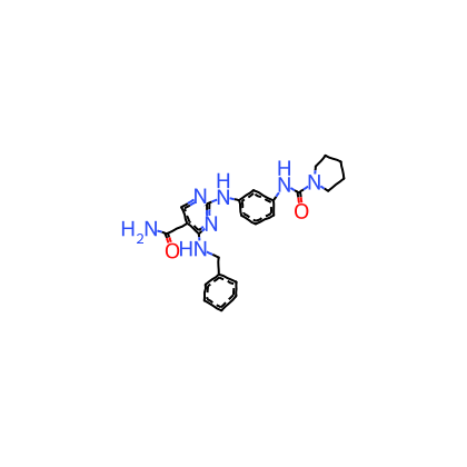 NC(=O)c1cnc(Nc2cccc(NC(=O)N3CCCCC3)c2)nc1NCc1ccccc1